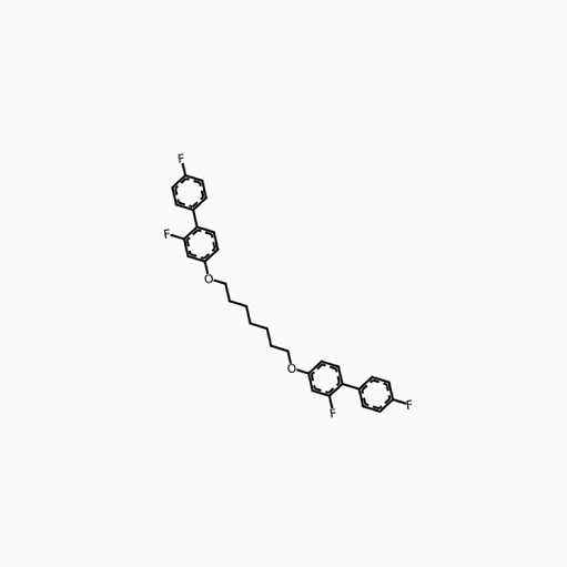 Fc1ccc(-c2ccc(OCCCCCCCOc3ccc(-c4ccc(F)cc4)c(F)c3)cc2F)cc1